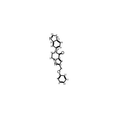 O=C1c2cc(COc3ccccc3)nn2CCN1c1ccc2scnc2c1